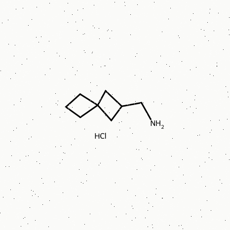 Cl.NCC1CC2(CCC2)C1